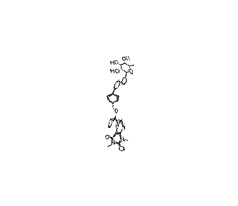 C[C@H]1O[C@@H](OOc2ccc(COC(=O)n3cnc4c3c(=O)n(C)c(=O)n4C)cc2)[C@H](O)[C@@H](O)[C@@H]1O